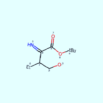 CCC(C[O])C(=N)C(=O)OC(C)(C)C